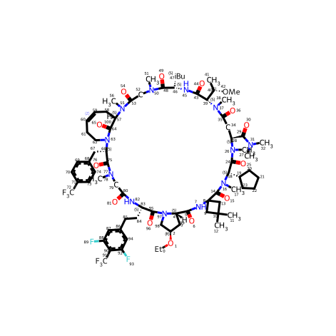 CCO[C@@H]1C[C@H]2C(=O)NC3(CC(C)(C)C3)C(=O)N(C)[C@@H](C3CCCC3)C(=O)N(C)[C@H](C(=O)N(C)C)CC(=O)N(C)[C@@H]([C@H](C)OC)C(=O)N[C@@H]([C@@H](C)CC)C(=O)N(C)CC(=O)N(C)[C@H]3C/C=C\CCN(C3=O)[C@@H](Cc3ccc(C(F)(F)F)cc3)C(=O)N(C)CC(=O)N[C@@H](CCc3cc(F)c(C(F)(F)F)c(F)c3)C(=O)N2C1